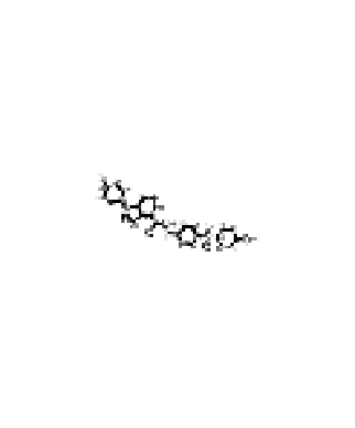 O=C(NCc1ccc(S(=O)(=O)C2CCC(O)CC2)cc1)c1cncc2c1cnn2-c1ccc(F)cc1